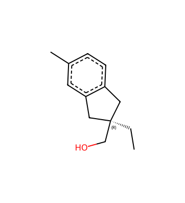 CC[C@@]1(CO)Cc2ccc(C)cc2C1